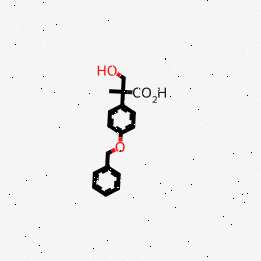 CC(CO)(C(=O)O)c1ccc(OCc2ccccc2)cc1